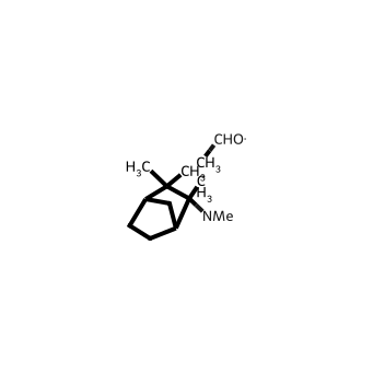 CNC1(C)C2CCC(C2)C1(C)C.C[C]=O